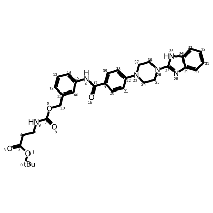 CC(C)(C)OC(=O)CCNC(=O)OCc1cccc(NC(=O)c2ccc(N3CCN(c4nc5ccccc5[nH]4)CC3)cc2)c1